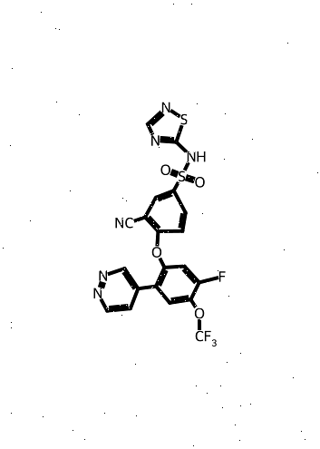 N#Cc1cc(S(=O)(=O)Nc2ncns2)ccc1Oc1cc(F)c(OC(F)(F)F)cc1-c1ccnnc1